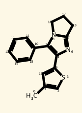 Cc1csc(-c2nc3n(c2-c2ccccc2)CCC3)c1